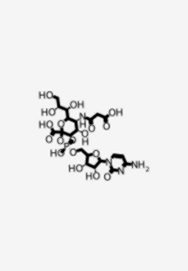 Nc1ccn(C2OC(COP(=O)(O)OC3(C(=O)O)C[C@@H](O)[C@@H](NC(=O)CC(=O)O)C([C@H](O)[C@H](O)CO)O3)[C@@H](O)[C@H]2O)c(=O)n1